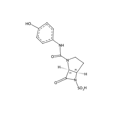 O=C(Nc1ccc(O)cc1)N1CC[C@@H]2[C@H]1C(=O)N2S(=O)(=O)O